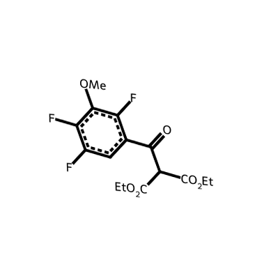 CCOC(=O)C(C(=O)OCC)C(=O)c1cc(F)c(F)c(OC)c1F